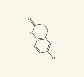 CCc1ccc2c(c1)COC(=O)N2